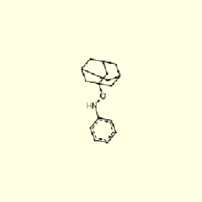 c1ccc(NOC23CC4CC(CC(C4)C2)C3)cc1